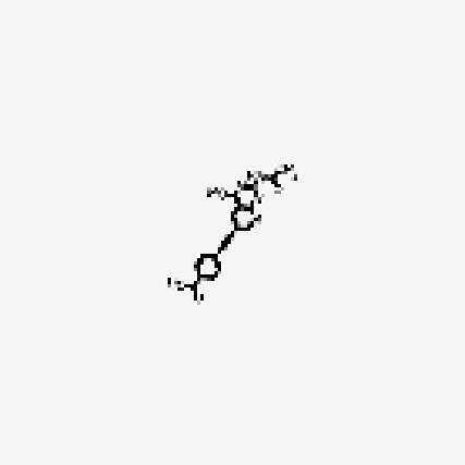 CC(=O)Nc1nc(O)c2cc(C#Cc3ccc(C(=O)O)cc3)cnc2n1